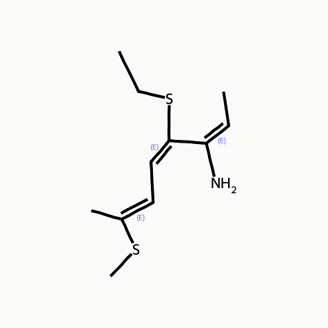 C\C=C(N)/C(=C\C=C(/C)SC)SCC